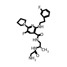 C[C@H](CNC(=O)c1cc(F)c(N2CCCC2)nc1NCCc1cccc(F)c1)NC(=O)CN